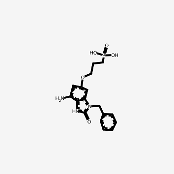 Nc1cc(OCCCP(=O)(O)O)cc2c1[nH]c(=O)n2Cc1ccccc1